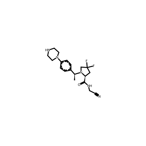 C[C@@H](c1ccc(N2CCNCC2)cc1)N1CC(F)(F)C[C@H]1C(=O)NCC#N